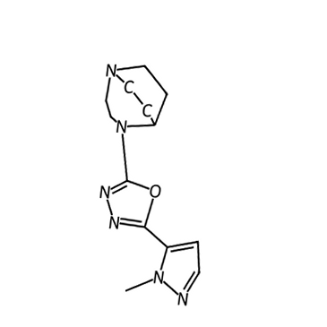 Cn1nccc1-c1nnc(N2CCN3CCC2CC3)o1